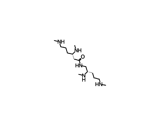 CNCCC[C@@H](CNC(=O)C[C@H](CCCNC)NC)NC